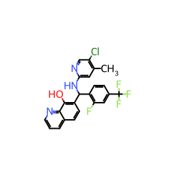 Cc1cc(NC(c2ccc(C(F)(F)F)cc2F)c2ccc3cccnc3c2O)ncc1Cl